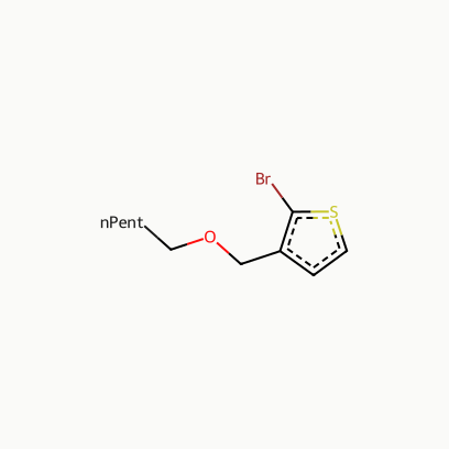 CCCCCCOCc1ccsc1Br